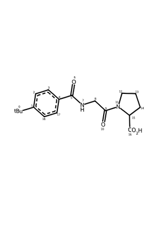 CC(C)(C)c1ccc(C(=O)NCC(=O)N2CCCC2C(=O)O)cc1